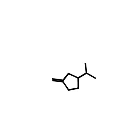 C=C1CCC(C(C)C)C1